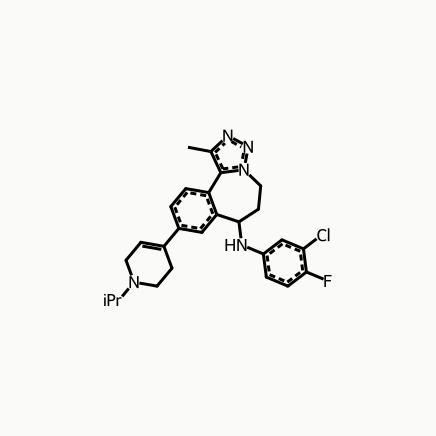 Cc1nnn2c1-c1ccc(C3=CCN(C(C)C)CC3)cc1C(Nc1ccc(F)c(Cl)c1)CC2